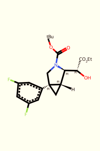 CCOC(=O)[C@H](O)[C@H]1[C@@H]2C[C@@]2(c2cc(F)cc(F)c2)CN1C(=O)OC(C)(C)C